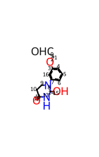 O=CCOc1cccc(N2CCC(=O)NC2O)c1